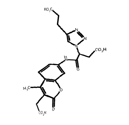 Cc1c(CC(=O)O)c(=O)oc2cc(NC(=O)C(CC(=O)O)n3cc(CCC(=O)O)nn3)ccc12